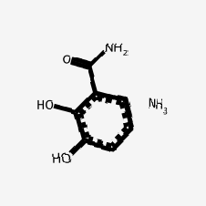 N.NC(=O)c1cccc(O)c1O